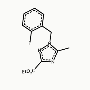 CCOC(=O)c1nc(C)n(Cc2ccccc2F)n1